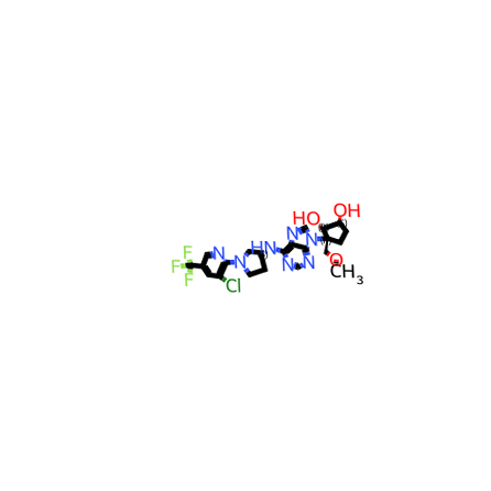 COC[C@]1(n2cnc3c(N[C@H]4CCN(c5ncc(C(F)(F)F)cc5Cl)C4)ncnc32)CC[C@H](O)[C@@H]1O